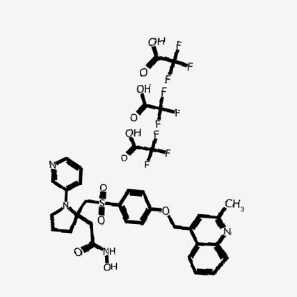 Cc1cc(COc2ccc(S(=O)(=O)CC3(CC(=O)NO)CCCN3c3cccnc3)cc2)c2ccccc2n1.O=C(O)C(F)(F)F.O=C(O)C(F)(F)F.O=C(O)C(F)(F)F